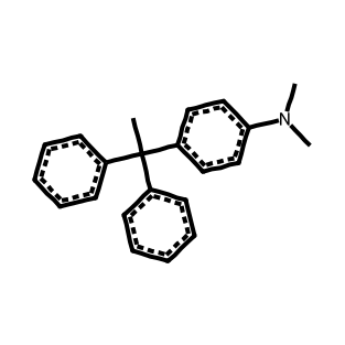 CN(C)c1ccc(C(C)(c2ccccc2)c2ccccc2)cc1